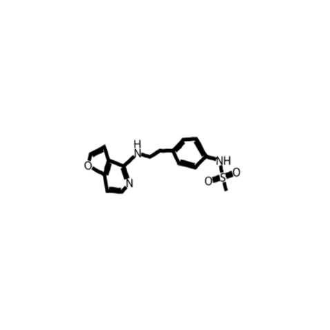 CS(=O)(=O)Nc1ccc(CCNc2nccc3occc23)cc1